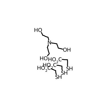 O=C(O)CS.O=C(O)CS.O=C(O)CS.OCCN(CCO)CCO